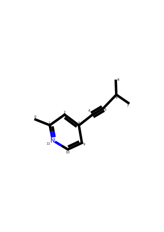 Cc1cc(C#CC(C)C)ccn1